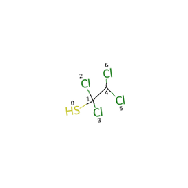 SC(Cl)(Cl)C(Cl)Cl